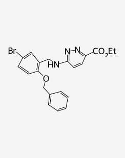 CCOC(=O)c1ccc(NCc2cc(Br)ccc2OCc2ccccc2)nn1